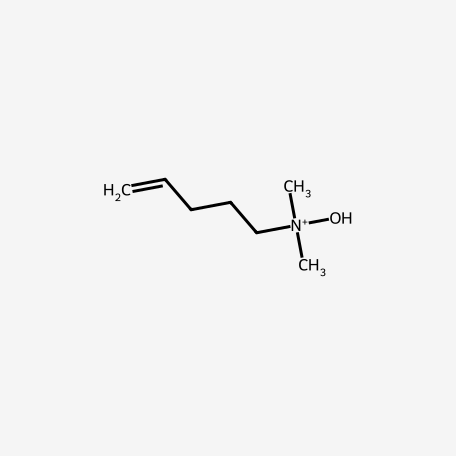 C=CCCC[N+](C)(C)O